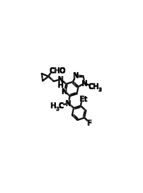 CCc1cc(F)ccc1N(C)c1cc2c(ncn2C)c(NCC2(C=O)CC2)n1